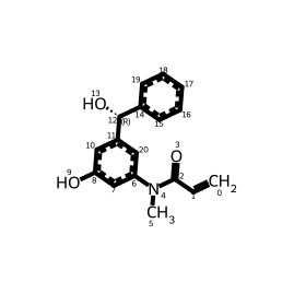 C=CC(=O)N(C)c1cc(O)cc([C@H](O)c2ccccc2)c1